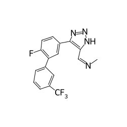 C/N=C\c1[nH]nnc1-c1ccc(F)c(-c2cccc(C(F)(F)F)c2)c1